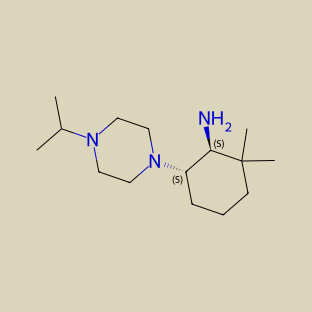 CC(C)N1CCN([C@H]2CCCC(C)(C)[C@@H]2N)CC1